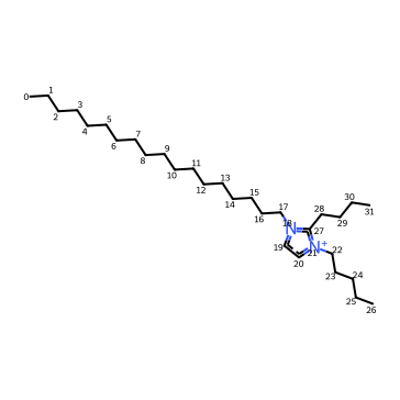 CCCCCCCCCCCCCCCCCCn1cc[n+](CCCCC)c1CCCC